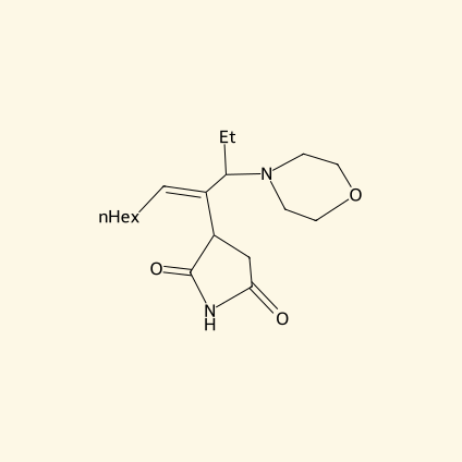 CCCCCCC=C(C1CC(=O)NC1=O)C(CC)N1CCOCC1